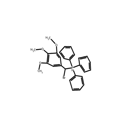 COc1cc(C(Br)[PH](c2ccccc2)(c2ccccc2)c2ccccc2)cc(OC)c1OC